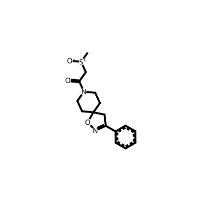 C[S+]([O-])CC(=O)N1CCC2(CC1)CC(c1ccccc1)=NO2